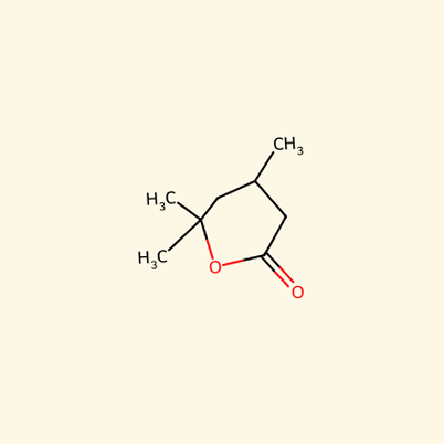 CC1CC(=O)OC(C)(C)C1